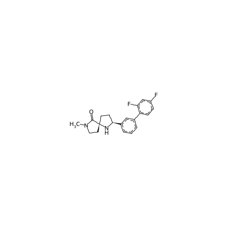 CN1CC[C@]2(CC[C@@H](c3cccc(-c4ccc(F)cc4F)c3)N2)C1=O